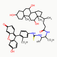 CCCC(NC(=S)Nc1ccc(-c2c3ccc(=O)cc-3oc3cc(O)ccc23)c(C(=O)O)c1)C(NC(=O)CCC(C)C1CCC2C3C(O)CC4CC(O)CCC4(C)C3CC(O)C12C)C(=O)O